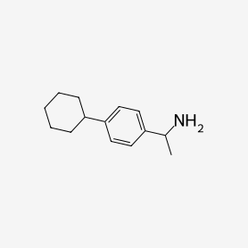 CC(N)c1ccc(C2CCCCC2)cc1